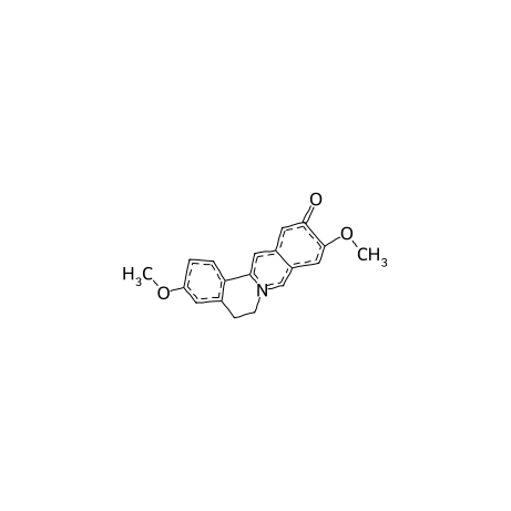 COc1ccc2c(c1)CCn1cc3cc(OC)c(=O)cc-3cc1-2